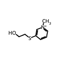 C[n+]1cccc(SCCO)c1